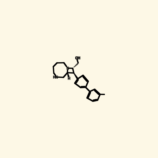 Cc1cccc(-c2ccc([C@@H]3[C@@H](CO)N4CCCCNC[C@@H]34)cc2)c1